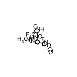 CN1CCN(c2ccc(-c3ccc(OC4CCOCC4)nc3F)cc2NC(=O)c2c[nH]c(=O)cc2C(F)(F)F)CC1